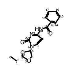 CC[C@H]1OC[C@H](n2ccc(NC(=O)c3ccccc3)nc2=O)O1